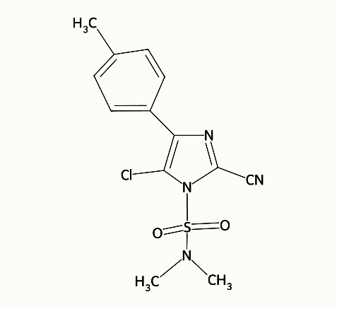 Cc1ccc(-c2nc(C#N)n(S(=O)(=O)N(C)C)c2Cl)cc1